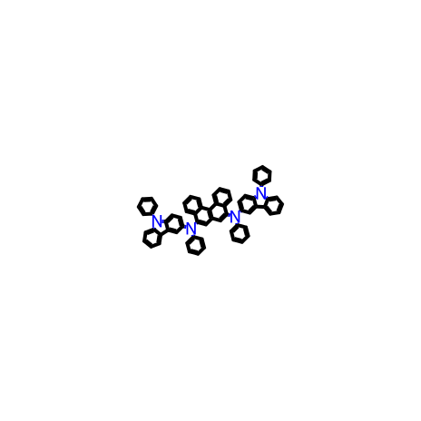 c1ccc(N(c2ccc3c(c2)c2ccccc2n3-c2ccccc2)c2cc3cc(N(c4ccccc4)c4ccc5c(c4)c4ccccc4n5-c4ccccc4)c4ccccc4c3c3ccccc23)cc1